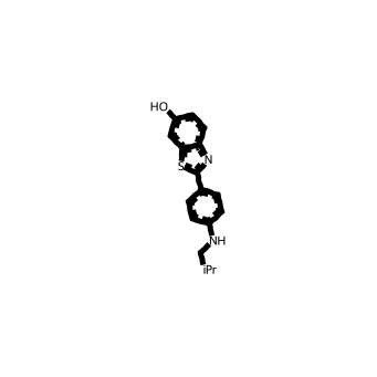 CC(C)CNc1ccc(-c2nc3ccc(O)cc3s2)cc1